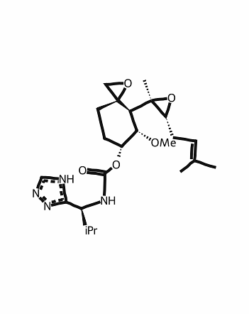 CO[C@@H]1[C@H](OC(=O)N[C@H](c2nnc[nH]2)C(C)C)CC[C@]2(CO2)[C@H]1[C@@]1(C)O[C@@H]1CC=C(C)C